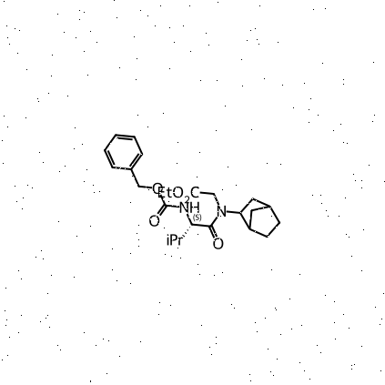 CCOC(=O)CN(C(=O)[C@@H](NC(=O)OCc1ccccc1)C(C)C)C1CC2CCC1C2